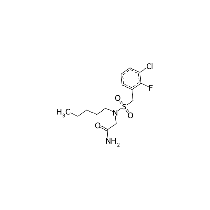 CCCCCN(CC(N)=O)S(=O)(=O)Cc1cccc(Cl)c1F